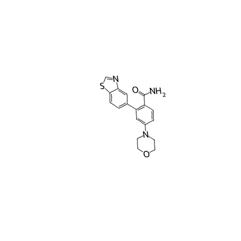 NC(=O)c1ccc(N2CCOCC2)cc1-c1ccc2scnc2c1